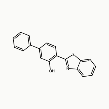 Oc1cc(-c2ccccc2)ccc1-c1nc2ccccc2s1